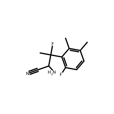 Cc1ccc(F)c(C(C)(F)C(N)C#N)c1C